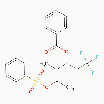 CC(OS(=O)(=O)c1ccccc1)C(C)C(CC(F)(F)F)OC(=O)c1ccccc1